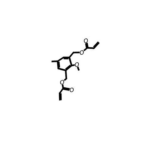 C=CC(=O)OCc1cc(C)cc(COC(=O)C=C)c1OC